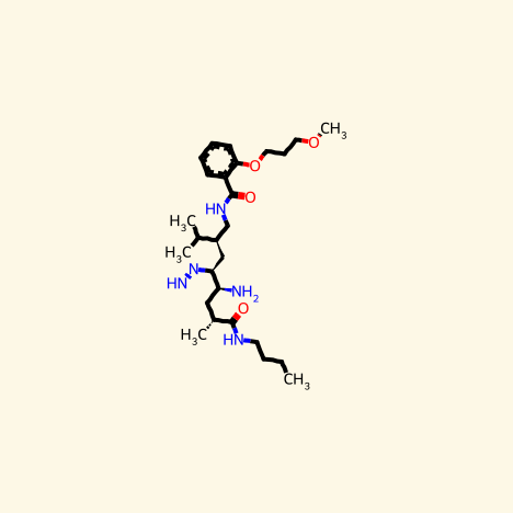 CCCCNC(=O)[C@H](C)C[C@H](N)[C@H](C[C@H](CNC(=O)c1ccccc1OCCCOC)C(C)C)N=N